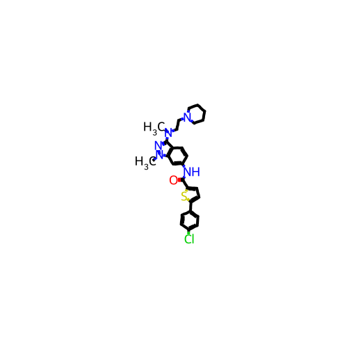 CN(CCN1CCCCC1)c1nn(C)c2cc(NC(=O)c3ccc(-c4ccc(Cl)cc4)s3)ccc12